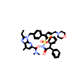 CCc1nc2c(C)cc(C(=O)N(C)C)nc2n1Cc1ccc(-c2cc(CN3CCOCC3)sc2S(=O)(=O)NC(=O)C(c2ccccc2)c2ccccc2)cc1